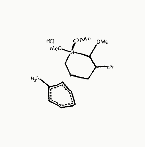 CCCC1CCC[Si](OC)(OC)C1OC.Cl.Nc1ccccc1